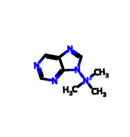 C[N+](C)(C)n1cnc2cncnc21